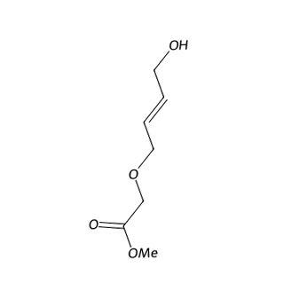 COC(=O)COCC=CCO